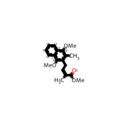 COC(=O)/C(C)=C\Cc1c(C)c(OC)c2ccccc2c1OC